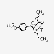 CCCCC1=C(c2ccc(OC)cc2)O[C@]1(C(=O)OCC)C(F)(F)F